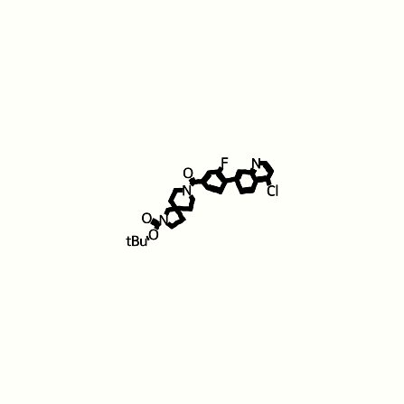 CC(C)(C)OC(=O)N1CCC2(CCN(C(=O)c3ccc(-c4ccc5c(Cl)ccnc5c4)c(F)c3)CC2)C1